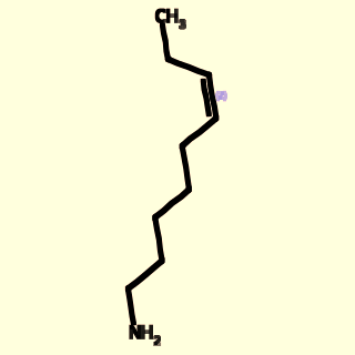 CC/C=C\CCCCCN